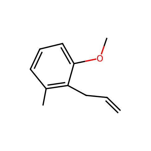 C=CCc1c(C)cccc1OC